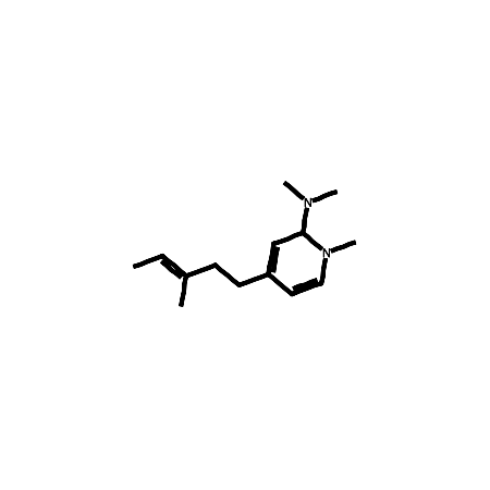 C/C=C(\C)CCC1=CC(N(C)C)N(C)C=C1